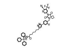 N#Cc1ncc(N2C(=O)N(Cc3ccc(-c4cn(CCCCCCC(=O)NOC(c5ccccc5)(c5ccccc5)c5ccccc5)nn4)cc3F)C3(CCC3)C2=O)cc1C(F)(F)F